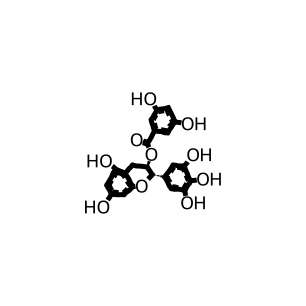 O=C(O[C@@H]1Cc2c(O)cc(O)cc2O[C@H]1c1cc(O)c(O)c(O)c1)c1cc(O)cc(O)c1